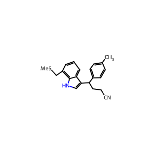 CSCc1cccc2c(C(CCC#N)c3ccc(C)cc3)c[nH]c12